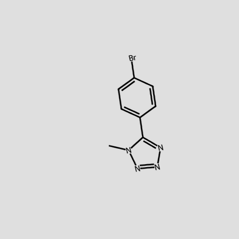 Cn1nnnc1-c1ccc(Br)cc1